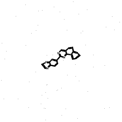 c1ccc2c(c1)ccc1cnc(-c3ccc4nccnc4c3)nc12